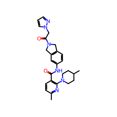 Cc1ccc(C(=O)Nc2ccc3c(c2)CN(C(=O)Cn2cccn2)C3)c(N2CCC(C)CC2)n1